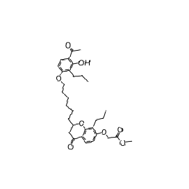 CCCc1c(OCCCCCCC2CC(=O)c3ccc(OCC(=O)OC)c(CCC)c3O2)ccc(C(C)=O)c1O